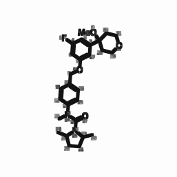 COC1(c2cc(F)cc(OCc3ccc(N(C)C(=O)N4C(C)CCC4C)cc3)c2)CCOCC1